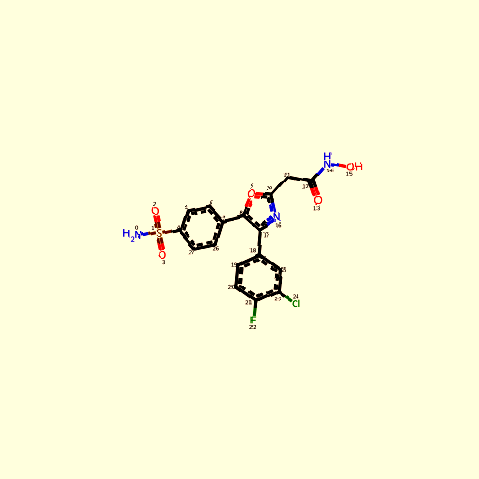 NS(=O)(=O)c1ccc(-c2oc(CC(=O)NO)nc2-c2ccc(F)c(Cl)c2)cc1